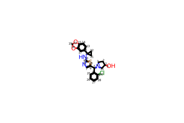 OC1CCN(C(c2cnc(NC3(c4ccc5c(c4)OCO5)CC3)s2)c2ccccc2Cl)C1